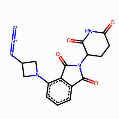 [N-]=[N+]=NC1CN(c2cccc3c2C(=O)N(C2CCC(=O)NC2=O)C3=O)C1